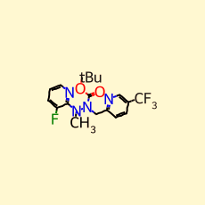 CN(c1ncccc1F)N(Cc1ccc(C(F)(F)F)cn1)C(=O)OC(C)(C)C